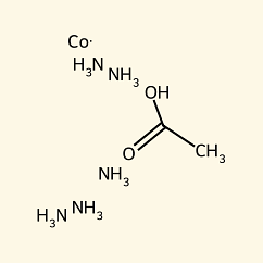 CC(=O)O.N.N.N.N.N.[Co]